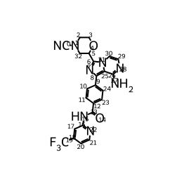 N#CN1CCOC(c2nc(-c3ccc(C(=O)Nc4cc(C(F)(F)F)ccn4)cc3)c3c(N)nccn23)C1